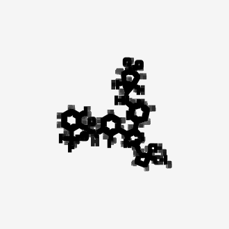 CC1(C)CCN1c1nc(-c2cccc(NS(=O)(=O)c3c(F)cccc3C(F)(F)F)c2F)c(-c2ccnc(N[C@H]3[C@@H]4CS(=O)(=O)C[C@@H]43)n2)s1